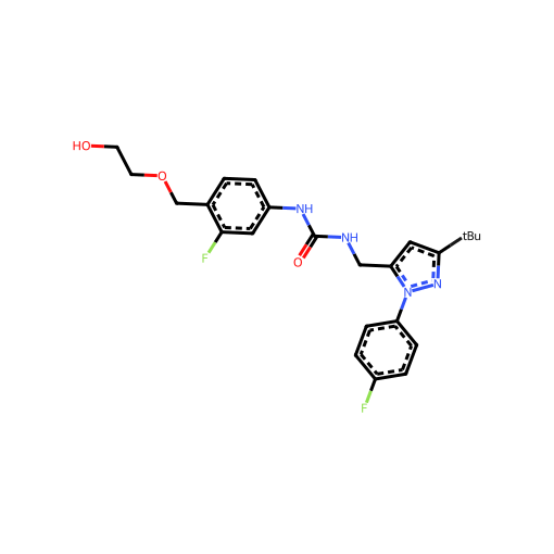 CC(C)(C)c1cc(CNC(=O)Nc2ccc(COCCO)c(F)c2)n(-c2ccc(F)cc2)n1